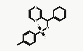 Cc1ccc(S(=O)(=O)OC(C2=CC=CCC2)C2=COC=CO2)cc1